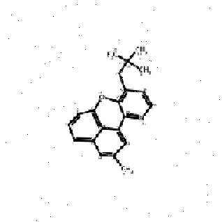 Cc1cc2c3c(cccc3c1)Oc1c(CC(C)(C)C(F)(F)F)ccnc1-2